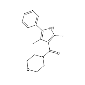 Cc1[nH]c(-c2ccccc2)c(C)c1C(=O)N1CCOCC1